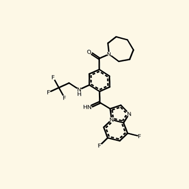 N=C(c1ccc(C(=O)N2CCCCCC2)cc1NCC(F)(F)F)c1cnc2c(F)cc(F)cn12